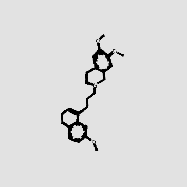 COc1ccc2c(c1)C(CCCN1CCc3cc(OC)c(OC)cc3C1)=CCC2